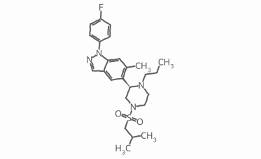 CCCN1CCN(S(=O)(=O)CC(C)C)C[C@H]1c1cc2cnn(-c3ccc(F)cc3)c2cc1C